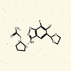 CC(=O)S[C@H]1CCC[C@H]1Nc1noc2c(F)c(F)c(C3OCCO3)cc12